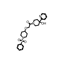 O=C(COC1CCN(S(=O)(=O)c2ccccc2)CC1)N1CCC(O)(c2ccccn2)CC1